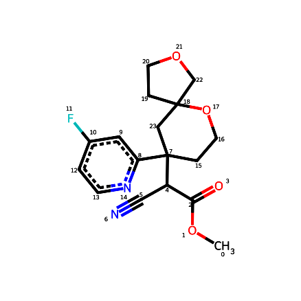 COC(=O)C(C#N)C1(c2cc(F)ccn2)CCOC2(CCOC2)C1